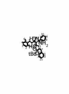 Cc1cccc(C)c1CCC(=O)[C@H]([C@@H](O)C[C@H](Cc1ccccc1)C(=O)OC(C)(C)C)C(N)(N)c1ccccc1